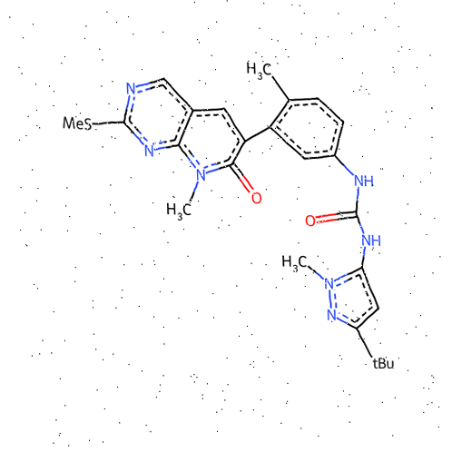 CSc1ncc2cc(-c3cc(NC(=O)Nc4cc(C(C)(C)C)nn4C)ccc3C)c(=O)n(C)c2n1